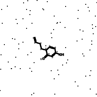 C=CCCC1C=CC(O)=CC1=O